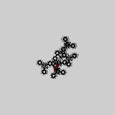 N#Cc1c(-c2ccc(-n3c4ccc(-c5nc(-c6ccccc6)nc(-c6ccccc6)n5)cc4c4cc(-c5nc(-c6ccccc6)nc(-c6ccccc6)n5)ccc43)c(-c3nc(-c4ccccc4)nc(-c4ccccc4)n3)c2)cccc1-n1c2ccc(-c3nc(-c4ccccc4)nc(-c4ccccc4)n3)cc2c2cc(-c3nc(-c4ccccc4)nc(-c4ccccc4)n3)ccc21